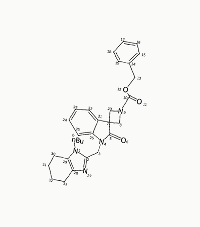 CCCCn1c(CN2C(=O)C3(CN(C(=O)OCc4ccccc4)C3)c3ccccc32)nc2c1CCCC2